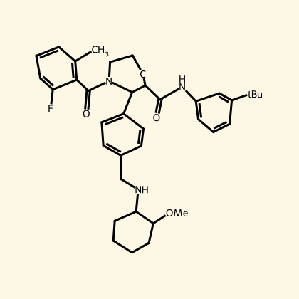 COC1CCCCC1NCc1ccc(C2C(C(=O)Nc3cccc(C(C)(C)C)c3)CCCN2C(=O)c2c(C)cccc2F)cc1